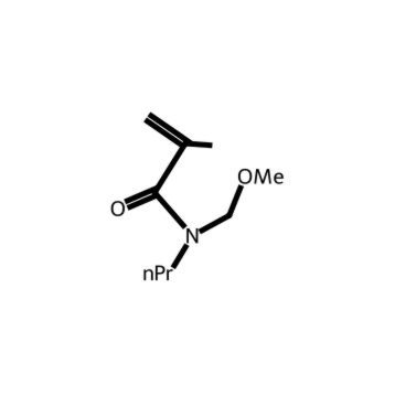 C=C(C)C(=O)N(CCC)COC